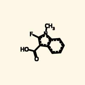 Cn1c(F)c(C(=O)O)c2ccccc21